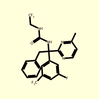 Cc1ccnc(C(Cc2ccccc2)(NC(=O)NCC(F)(F)F)c2cc(F)cc(C(F)(F)F)c2)n1